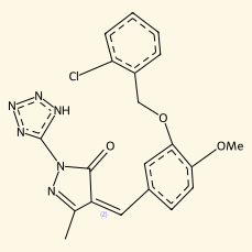 COc1ccc(/C=C2\C(=O)N(c3nnn[nH]3)N=C2C)cc1OCc1ccccc1Cl